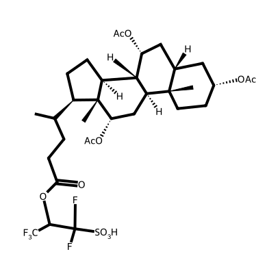 CC(=O)O[C@@H]1CC[C@@]2(C)[C@@H](C1)C[C@@H](OC(C)=O)[C@@H]1[C@@H]2C[C@H](OC(C)=O)[C@]2(C)[C@@H](C(C)CCC(=O)OC(C(F)(F)F)C(F)(F)S(=O)(=O)O)CC[C@@H]12